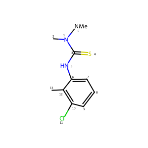 CNN(C)C(=S)Nc1cccc(Cl)c1C